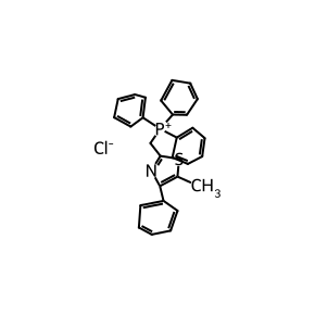 Cc1sc(C[P+](c2ccccc2)(c2ccccc2)c2ccccc2)nc1-c1ccccc1.[Cl-]